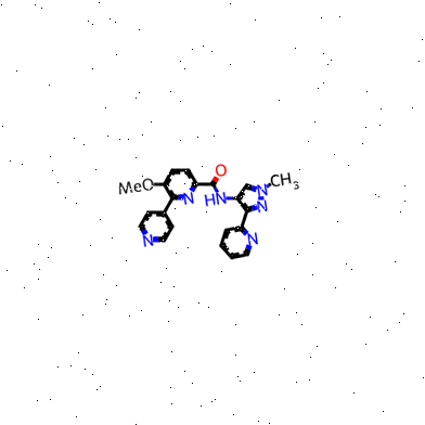 COc1ccc(C(=O)Nc2cn(C)nc2-c2ccccn2)nc1-c1ccncc1